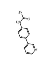 CCC(=O)Nc1ccc(-c2cccnc2)cc1